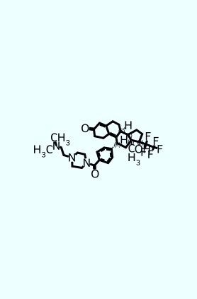 CN(C)CCN1CCN(C(=O)c2ccc([C@H]3C[C@@]4(C)[C@@H](CC[C@@]4(O)C(F)(F)C(F)(F)F)[C@@H]4CCC5=CC(=O)CCC5=C43)cc2)CC1